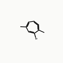 CC1=C=CC=C(C)C=C1Br